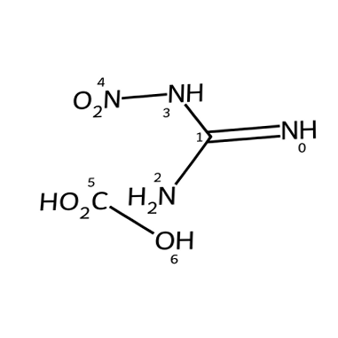 N=C(N)N[N+](=O)[O-].O=C(O)O